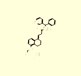 O=C(O)COc1cccc2c1CCC/C2=C\CC(=O)NC(c1ccccc1)c1cccnc1